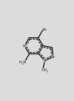 CC(C)c1cnc(N)c2c1cnn2C